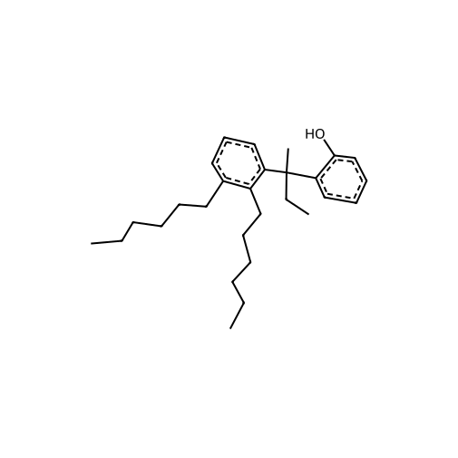 CCCCCCc1cccc(C(C)(CC)c2ccccc2O)c1CCCCCC